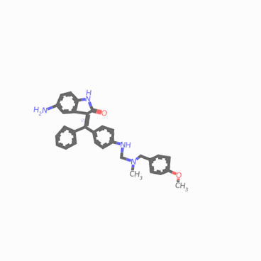 COc1ccc(CN(C)CNc2ccc(/C(=C3\C(=O)Nc4ccc(N)cc43)c3ccccc3)cc2)cc1